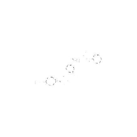 CC1C(C)N(c2cccc(Cl)c2)CCN1C(=O)c1ccc([S+]([O-])CC(=O)c2ccc(C(F)(F)F)cc2)c(Cl)c1